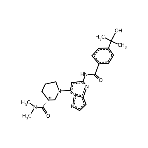 CN(C)C(=O)[C@@H]1CCCN(c2cc(NC(=O)c3ccc(C(C)(C)O)cc3)nc3ccnn23)C1